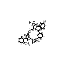 Cc1cccc(C)c1-c1cc2nc(n1)NS(=O)(=O)c1cccc(c1)C(=O)N(Cc1cncc(Cl)n1)C(CC(C)(C)C)CO2